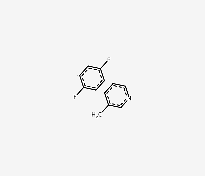 Fc1[c]cc(F)cc1.[CH2]c1cccnc1